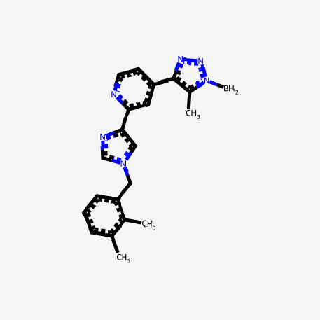 Bn1nnc(-c2ccnc(-c3cn(Cc4cccc(C)c4C)cn3)c2)c1C